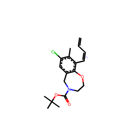 C=C/C=C\c1c(C)c(Cl)cc2c1OCCN(C(=O)OC(C)(C)C)C2